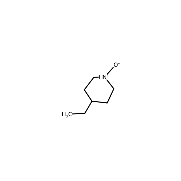 [CH2]CC1CC[NH+]([O-])CC1